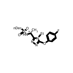 CCCCCCCCCCS(=O)(=O)N[C@H](C)c1nnc(Oc2ccc(F)cc2)n1CC